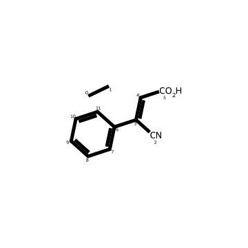 CC.N#CC(=CC(=O)O)c1ccccc1